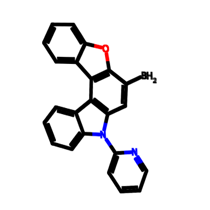 Bc1cc2c(c3ccccc3n2-c2ccccn2)c2c1oc1ccccc12